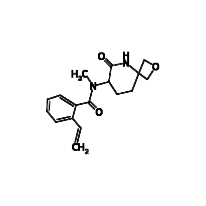 C=Cc1ccccc1C(=O)N(C)C1CCC2(COC2)NC1=O